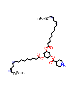 CCCCC/C=C\C/C=C\CCCCCCCC(=O)OC1CC(OC(=O)CCCCCCC/C=C\C/C=C\CCCCC)CC(OC(=O)C2CCN(C)CC2)C1